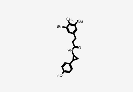 Cc1c(C(C)(C)C)cc(CCC(=O)NC2CC2c2ccc(O)cc2)cc1C(C)(C)C